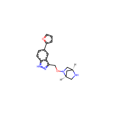 c1coc(-c2ccc3[nH]nc(CON4C[C@@H]5C[C@H]4CN5)c3c2)c1